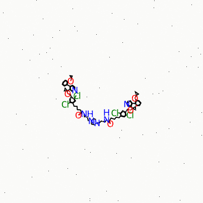 O=C(CCCCc1cc(Cl)c(COC2(c3cnccc3-c3ccccc3OC3CC3)CC2)cc1Cl)NCCCN1CCN(CCCNC(=O)CCCCc2cc(Cl)c(COC3(c4cnccc4-c4ccccc4OC4CC4)CC3)cc2Cl)CC1